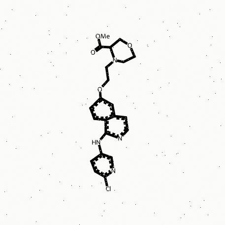 COC(=O)C1COCCN1CCOc1ccc2c(Nc3ccc(Cl)nc3)nccc2c1